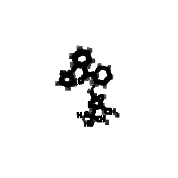 Cc1oc(C[C@H]2CCCCN2C(=O)c2ccccc2-n2nccn2)nc1C(C)(C)O